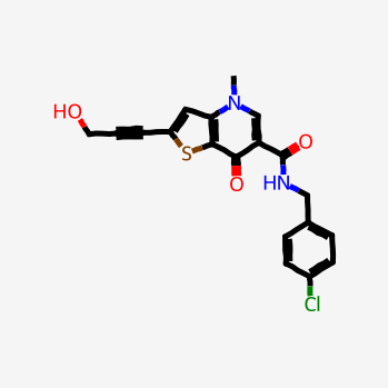 Cn1cc(C(=O)NCc2ccc(Cl)cc2)c(=O)c2sc(C#CCO)cc21